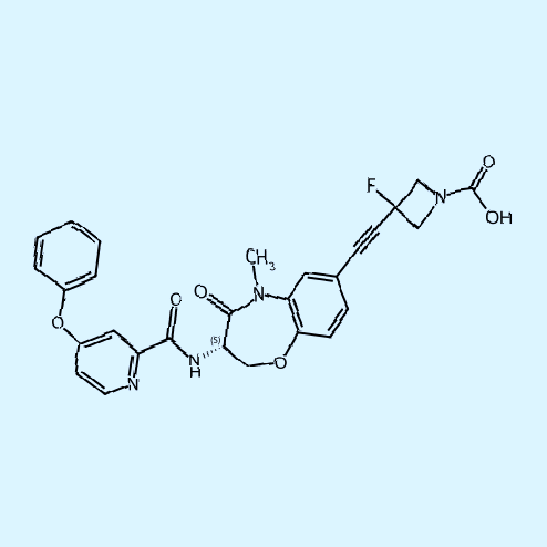 CN1C(=O)[C@@H](NC(=O)c2cc(Oc3ccccc3)ccn2)COc2ccc(C#CC3(F)CN(C(=O)O)C3)cc21